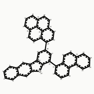 c1ccc2cc3c(cc2c1)oc1c(-c2cccc4c2ccc2ccccc24)cc(-c2ccc4ccc5cccc6ccc2c4c56)cc13